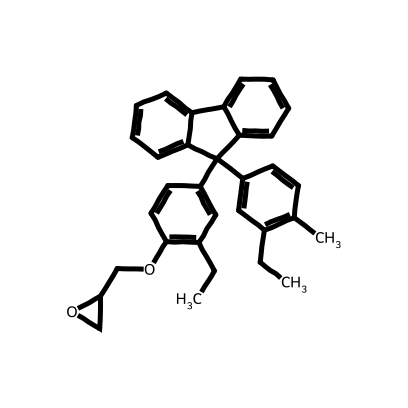 CCc1cc(C2(c3ccc(OCC4CO4)c(CC)c3)c3ccccc3-c3ccccc32)ccc1C